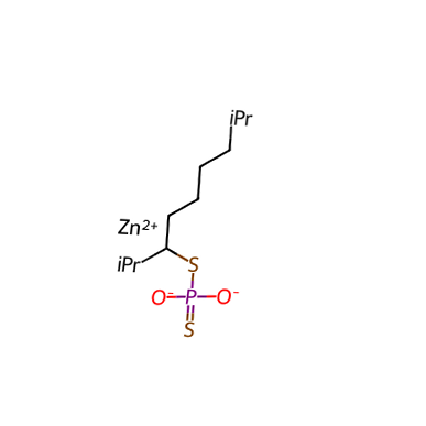 CC(C)CCCCC(SP([O-])([O-])=S)C(C)C.[Zn+2]